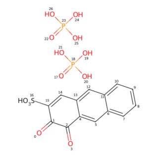 O=C1C(=O)c2cc3ccccc3cc2C=C1S(=O)(=O)O.O=P(O)(O)O.O=P(O)(O)O